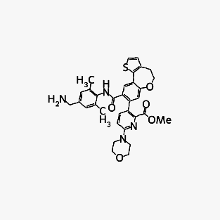 COC(=O)c1nc(N2CCOCC2)ccc1-c1cc2c(cc1C(=O)Nc1c(C)cc(CN)cc1C)-c1sccc1CCO2